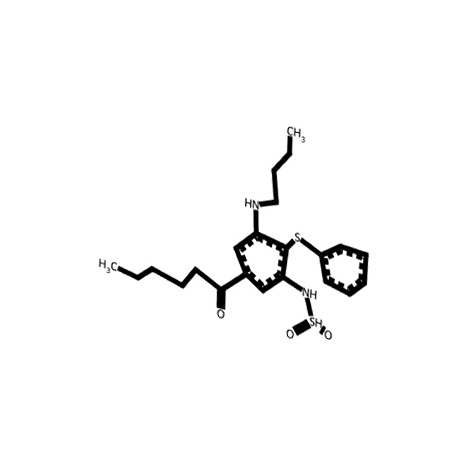 CCCCCC(=O)c1cc(NCCCC)c(Sc2ccccc2)c(N[SH](=O)=O)c1